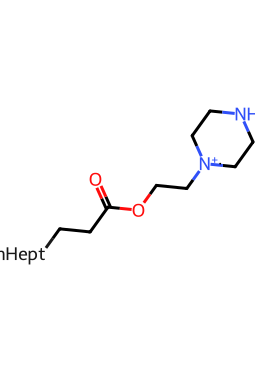 CCCCCCCCCC(=O)OCC[N+]1CCNCC1